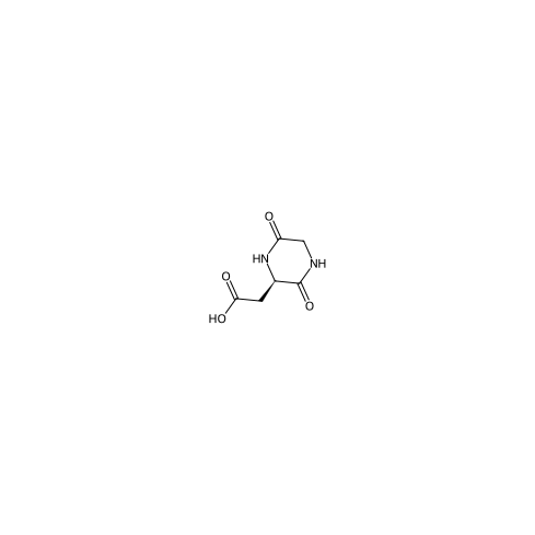 O=C(O)C[C@H]1NC(=O)CNC1=O